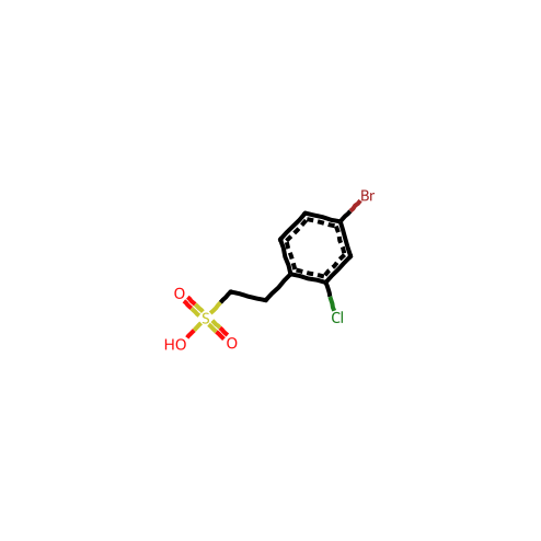 O=S(=O)(O)CCc1ccc(Br)cc1Cl